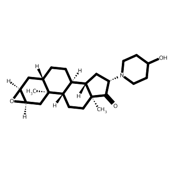 C[C@]12C[C@H]3O[C@H]3C[C@@H]1CC[C@@H]1[C@@H]2CC[C@]2(C)C(=O)[C@@H](N3CCC(O)CC3)C[C@@H]12